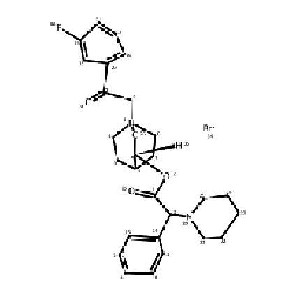 O=C(C[N+]12CCC(CC1)[C@@H](OC(=O)C(c1ccccc1)N1CCCCC1)C2)c1cccc(F)c1.[Br-]